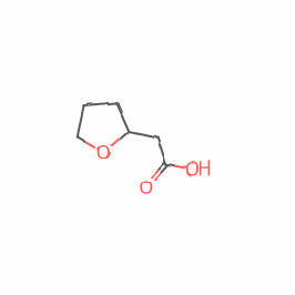 O=C(O)CC1CCCO1